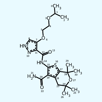 CC(C)OCCOc1c[nH]nc1C(=O)Nc1sc2c(c1C(N)=O)CC(C)(C)OC2(C)C